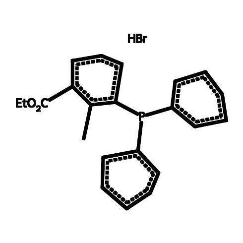 Br.CCOC(=O)c1cccc(P(c2ccccc2)c2ccccc2)c1C